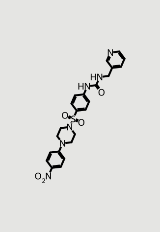 O=C(NCc1cccnc1)Nc1ccc(S(=O)(=O)N2CCN(c3ccc([N+](=O)[O-])cc3)CC2)cc1